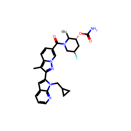 Cc1c(-c2cc3cccnc3n2CC2CC2)nn2cc(C(=O)N3C[C@H](F)C[C@@H](OC(N)=O)C3C(C)(C)C)ccc12